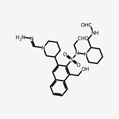 NN=CN1CCCC(c2cc3ccccc3c(CO)c2S(=O)(=O)N(CC=O)N2CCCCC2CNC=O)C1